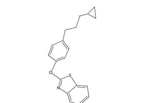 [CH](CCc1ccc(Oc2nc3ccccc3s2)cc1)C1CC1